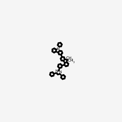 CC1(C)c2cc(-c3ccc4c(c3)c3ccccc3n4-c3ccccc3)ccc2-c2c(-c3cccc(-c4nc(-c5ccccc5)cc(-c5ccccc5)n4)c3)cccc21